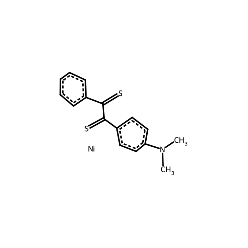 CN(C)c1ccc(C(=S)C(=S)c2ccccc2)cc1.[Ni]